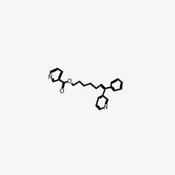 O=C(OCCCCCC=C(c1ccccc1)c1cccnc1)c1cccnc1